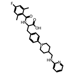 Cc1cc(F)cc(C)c1C(=O)NC(Cc1ccc(N2CCC(CNc3ccccn3)CC2)cc1)C(=O)O